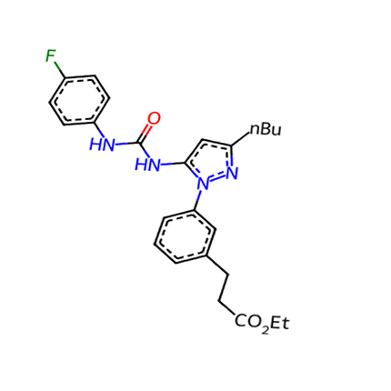 CCCCc1cc(NC(=O)Nc2ccc(F)cc2)n(-c2cccc(CCC(=O)OCC)c2)n1